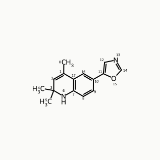 CC1=CC(C)(C)Nc2ccc(-c3cnco3)cc21